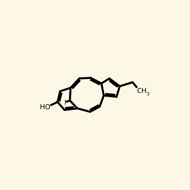 CCC1=C/C2=C/C=C3/C=C(O)C=C(/C=C\C2=C1)C3I